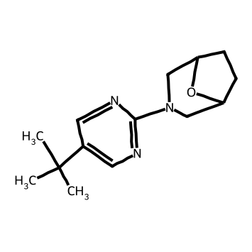 CC(C)(C)c1cnc(N2CC3CCC(C2)O3)nc1